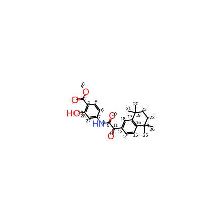 COC(=O)c1ccc(NC(=O)C(=O)c2ccc3c(c2)C(C)(C)CCC3(C)C)cc1O